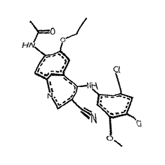 CCOc1cc2c(Nc3cc(OC)c(Cl)cc3Cl)c(C#N)cnc2cc1NC(C)=O